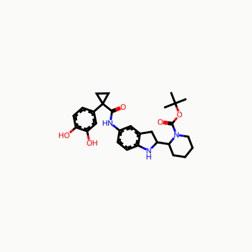 CC(C)(C)OC(=O)N1CCCCC1C1Cc2cc(NC(=O)C3(c4ccc(O)c(O)c4)CC3)ccc2N1